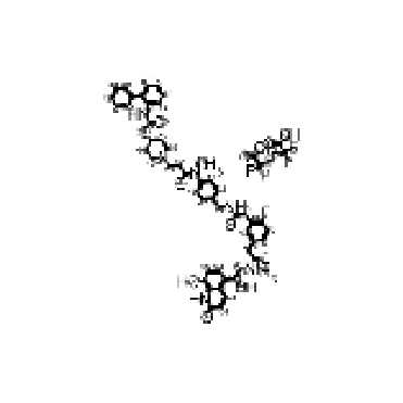 CC(Cc1ccc(F)c(CC(=O)NCc2ccc(N(C)C(=O)CCN3CCC(OC(=O)Nc4ccccc4-c4ccccc4)CC3)cc2)c1)NC[C@H](O)c1ccc(O)c2[nH]c(=O)ccc12.O=C(O)C(F)(F)F.O=C(O)C(F)(F)F